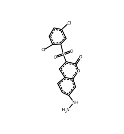 NNc1ccc2cc(S(=O)(=O)c3cc(Cl)ccc3Cl)c(=O)oc2c1